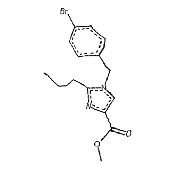 CCCc1nc(C(=O)OC)cn1Cc1ccc(Br)cc1